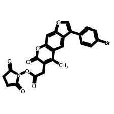 Cc1c(CC(=O)ON2C(=O)CCC2=O)c(=O)oc2cc3occ(-c4ccc(Br)cc4)c3cc12